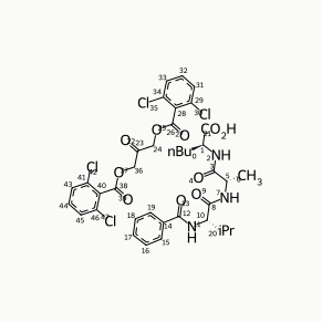 CCCC[C@H](NC(=O)[C@H](C)NC(=O)[C@@H](NC(=O)c1ccccc1)C(C)C)C(=O)O.O=C(COC(=O)c1c(Cl)cccc1Cl)COC(=O)c1c(Cl)cccc1Cl